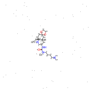 CCCN1C[C@@H](NC(=O)N(CC)CCCCN(C)C)C[C@@H]2CC3(CC[C@H]21)OCCO3